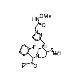 CONC(=O)Cn1ccc(/C=C2\CN(C(C(=O)C3CC3)c3ccccc3F)CCC2SC(C)=O)n1.Cl